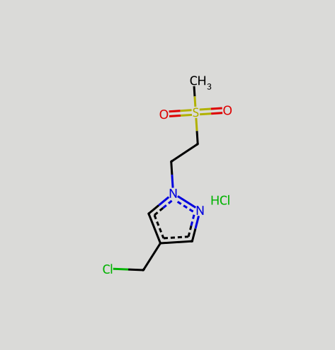 CS(=O)(=O)CCn1cc(CCl)cn1.Cl